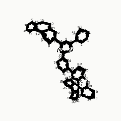 c1ccc(-c2cc(-c3ccc4c(ccc5ccccc54)c3)nc(-c3cccc(-c4ccc5c(c4)C4(c6ccccc6S5)c5ccccc5-c5ccccc54)c3)n2)cc1